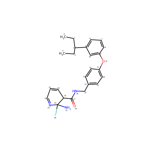 CCC(CC)c1cccc(Oc2ccc(CNC(=O)C3C=CC=NC3(N)F)cc2)c1